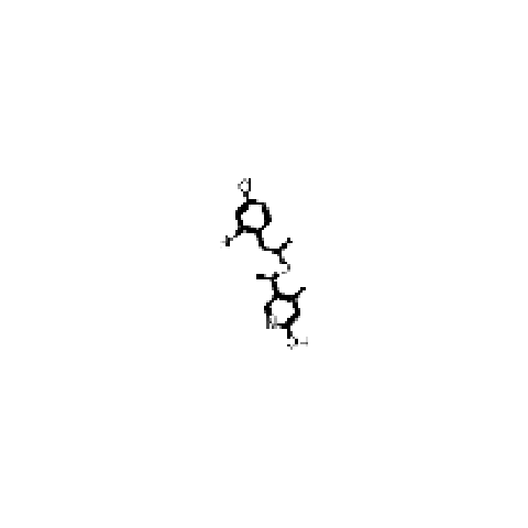 Cc1cc(O)ncc1C(C)OC(C)Cc1ccc(Cl)cc1Br